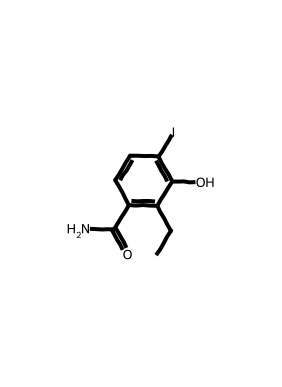 CCc1c(C(N)=O)ccc(I)c1O